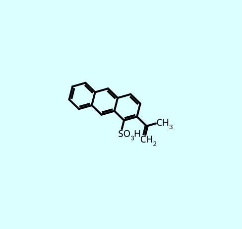 C=C(C)c1ccc2cc3ccccc3cc2c1S(=O)(=O)O